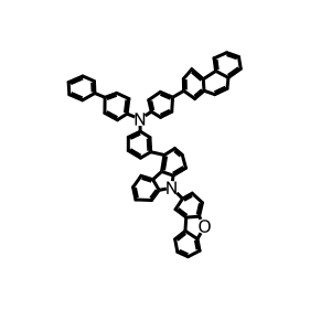 c1ccc(-c2ccc(N(c3ccc(-c4ccc5c(ccc6ccccc65)c4)cc3)c3cccc(-c4cccc5c4c4ccccc4n5-c4ccc5oc6ccccc6c5c4)c3)cc2)cc1